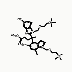 COC(=O)CCC(C)(c1c(OC)cc(C)c2c1ccn2COCC[Si](C)(C)C)c1nc2cc(C#N)ccc2n1COCC[Si](C)(C)C